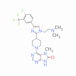 CN(C)CCn1cc(-c2ccc(F)c(C(F)(F)F)c2)nc1C1CCN(c2ncnc3[nH]c(=O)n(C)c23)CC1